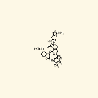 CCCCC(=O)OC(OC(=O)C1=C(CSc2nnnn2CCN(C)C)CS[C@H]2[C@H](NC(=O)Cc3csc(N)n3)C(=O)N12)C1CCCCC1.Cl.Cl